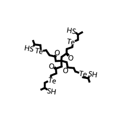 CC(S)C[Te]CCC(=O)CC(CC(=O)CC[Te]CC(C)S)(CC(=O)CC[Te]CC(C)S)CC(=O)CC[Te]CC(C)S